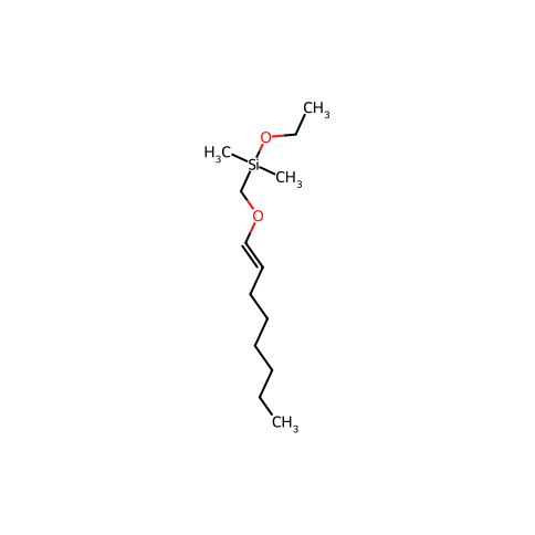 CCCCCCC=COC[Si](C)(C)OCC